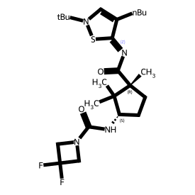 CCCCc1cn(C(C)(C)C)s/c1=N\C(=O)[C@]1(C)CC[C@H](NC(=O)N2CC(F)(F)C2)C1(C)C